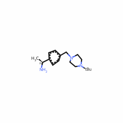 C[C@H](N)c1ccc(CN2CCN(C(C)(C)C)CC2)cc1